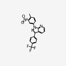 Cc1ccc(-n2nc(-c3ccc(C(F)(F)F)cc3)c3cccnc32)cc1[N+](=O)[O-]